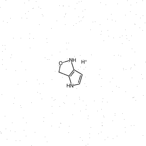 [H+].c1cc2c([nH]1)CON2